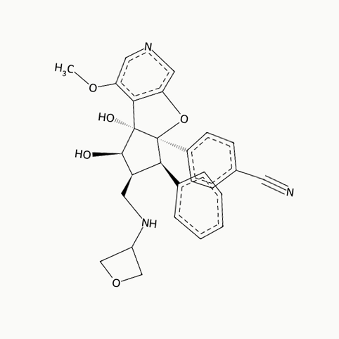 COc1cncc2c1[C@]1(O)[C@H](O)[C@H](CNC3COC3)[C@H](c3ccccc3)[C@]1(c1ccc(C#N)cc1)O2